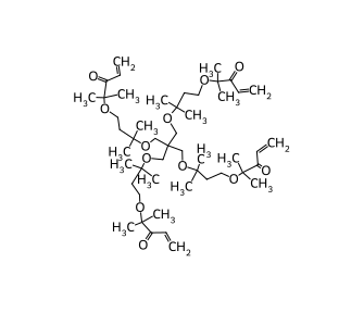 C=CC(=O)C(C)(C)OCCC(C)(C)OCC(COC(C)(C)CCOC(C)(C)C(=O)C=C)(COC(C)(C)CCOC(C)(C)C(=O)C=C)COC(C)(C)CCOC(C)(C)C(=O)C=C